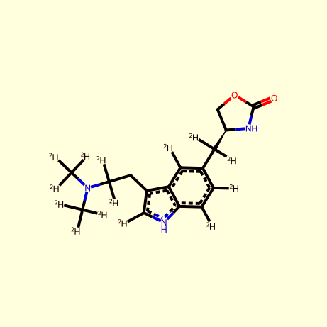 [2H]c1[nH]c2c([2H])c([2H])c(C([2H])([2H])[C@H]3COC(=O)N3)c([2H])c2c1CC([2H])([2H])N(C([2H])([2H])[2H])C([2H])([2H])[2H]